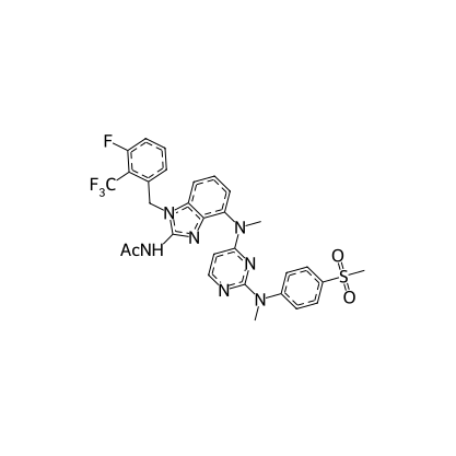 CC(=O)Nc1nc2c(N(C)c3ccnc(N(C)c4ccc(S(C)(=O)=O)cc4)n3)cccc2n1Cc1cccc(F)c1C(F)(F)F